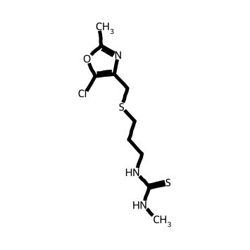 CNC(=S)NCCCSCc1nc(C)oc1Cl